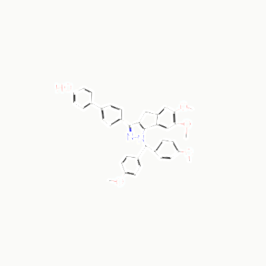 COc1ccc(C(c2ccc(OC)cc2)n2nc(-c3ccc(-c4ccc(O)cc4)cc3)c3c2-c2cc(OC)c(OC)cc2C3)cc1